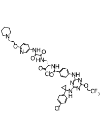 O=C(NC[C@H](NC(=O)c1ccc(Nc2nc(NC3(c4ccc(Cl)cc4)CC3)nc(OCC(F)(F)F)n2)cc1)C(=O)Cl)C(=O)Nc1ccc(OCCN2CCCCC2)nc1